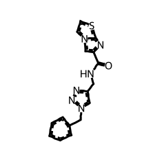 O=C(NCc1cn(Cc2ccccc2)nn1)c1cn2ccsc2n1